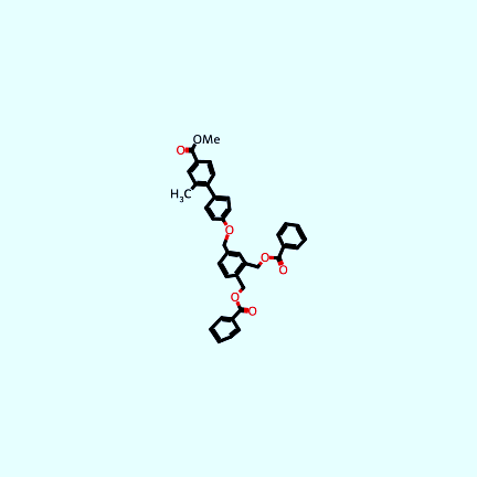 COC(=O)c1ccc(-c2ccc(OCc3ccc(COC(=O)c4ccccc4)c(COC(=O)c4ccccc4)c3)cc2)c(C)c1